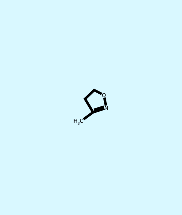 CC1=NOC[CH]1